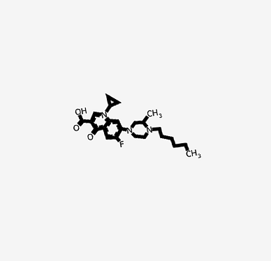 CCCCCCN1CCN(c2cc3c(cc2F)c(=O)c(C(=O)O)cn3C2CC2)CC1C